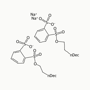 CCCCCCCCCCCCOS(=O)(=O)c1ccccc1S(=O)(=O)[O-].CCCCCCCCCCCCOS(=O)(=O)c1ccccc1S(=O)(=O)[O-].[Na+].[Na+]